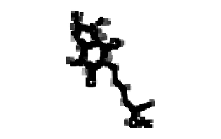 CC(=O)OC(C)CCCCn1c(=O)c2c(nc(Br)n2C)n(C)c1=O